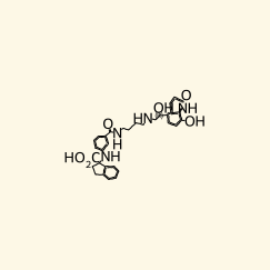 O=C(NCCCCNC[C@H](O)c1ccc(O)c2[nH]c(=O)ccc12)c1cccc(NC2(C(=O)O)CCc3ccccc32)c1